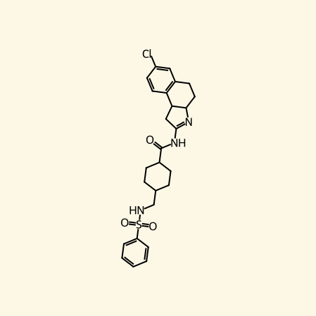 O=C(NC1=NC2CCc3cc(Cl)ccc3C2C1)C1CCC(CNS(=O)(=O)c2ccccc2)CC1